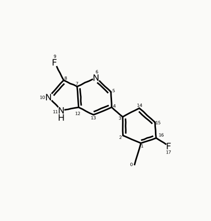 Cc1cc(-c2cnc3c(F)n[nH]c3c2)ccc1F